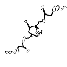 O=C(O)CC(=O)OCc1cc(=O)c(COC(=O)CC(=O)O)c[nH]1